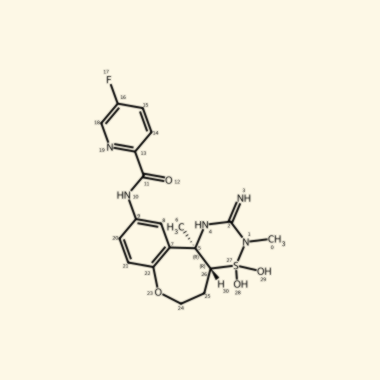 CN1C(=N)N[C@]2(C)c3cc(NC(=O)c4ccc(F)cn4)ccc3OCC[C@H]2S1(O)O